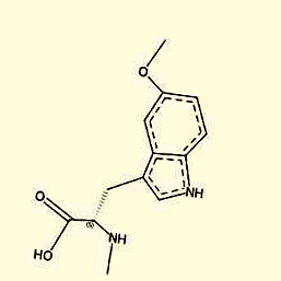 CN[C@@H](Cc1c[nH]c2ccc(OC)cc12)C(=O)O